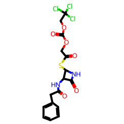 O=C(Cc1ccccc1)NC1C(=O)NC1SC(=O)COC(=O)OCC(Cl)(Cl)Cl